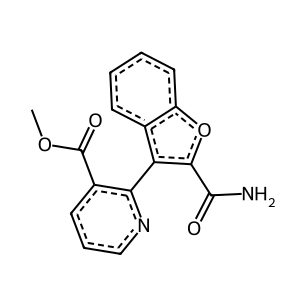 COC(=O)c1cccnc1-c1c(C(N)=O)oc2ccccc12